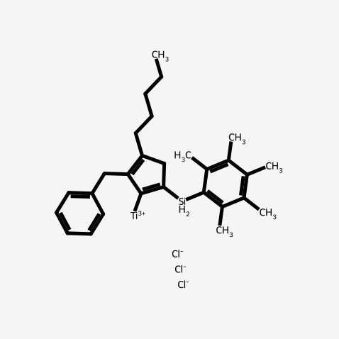 CCCCCC1=C(Cc2ccccc2)[C]([Ti+3])=C([SiH2]c2c(C)c(C)c(C)c(C)c2C)C1.[Cl-].[Cl-].[Cl-]